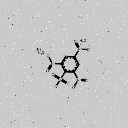 O.O.O=[N+]([O-])c1cc([N+](=O)[O-])c(S(=O)(=O)[O-])c([N+](=O)[O-])c1.[Na+]